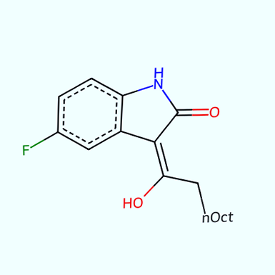 CCCCCCCCCC(O)=C1C(=O)Nc2ccc(F)cc21